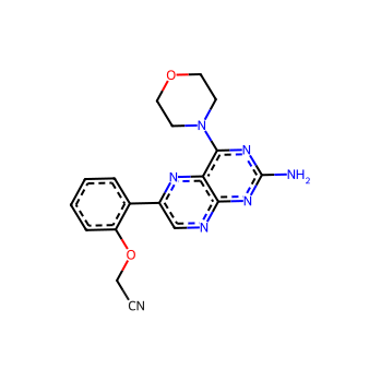 N#CCOc1ccccc1-c1cnc2nc(N)nc(N3CCOCC3)c2n1